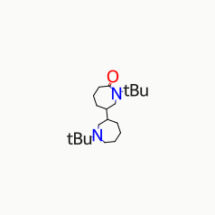 CC(C)(C)N1CCCCC(C2CCCC(=O)N(C(C)(C)C)C2)C1